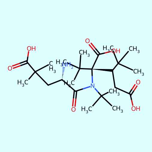 CC(C)(C[C@H](N)C(=O)N(C(C)(C)C)[C@](C(=O)O)(C(CC(=O)O)C(C)(C)C)C(C)(C)C)C(=O)O